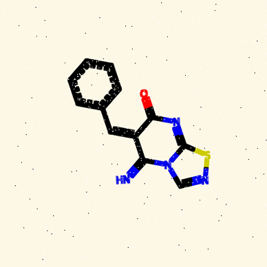 N=C1/C(=C/c2ccccc2)C(=O)N=C2SN=CN12